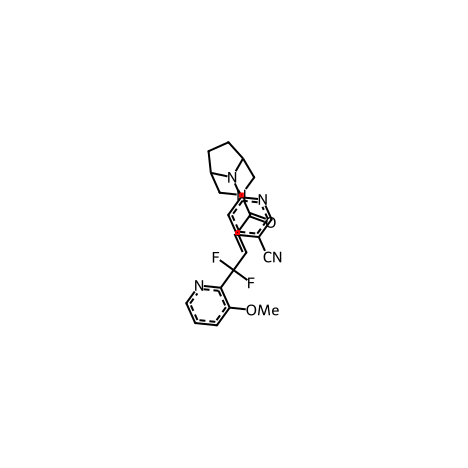 COc1cccnc1C(F)(F)/C=C/C(=O)N1CC2CCC(C1)N2c1ccc(C#N)cn1